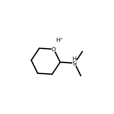 C[SiH](C)C1CCCCO1.[H+]